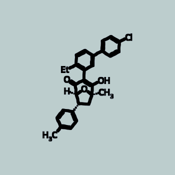 CCc1ccc(-c2ccc(Cl)cc2)cc1C1=C(O)[C@@]2(C)C[C@H](c3ccc(C)cc3)[C@H](O2)C1=O